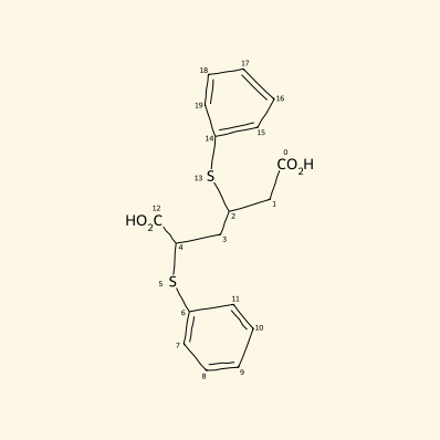 O=C(O)CC(CC(Sc1ccccc1)C(=O)O)Sc1ccccc1